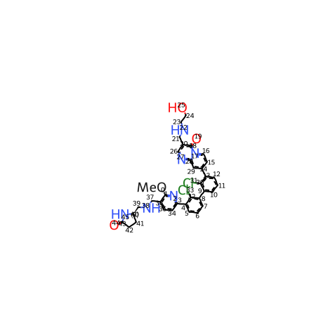 COc1nc(-c2cccc(-c3cccc(-c4ccn5c(=O)c(CNCCO)cnc5c4)c3Cl)c2Cl)ccc1CNC[C@H]1CCC(=O)N1